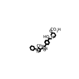 O=C(O)O[C@H]1CCCN(C[C@@H](O)c2ccc(-c3noc(-c4cnn(C5CCCCC5)c4C(F)(F)F)n3)cc2)C1